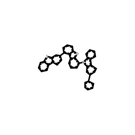 c1ccc(-c2ccc3c4ccccc4n(-c4cccc5c4oc4cccc(-c6ccc7c(c6)sc6ccccc67)c45)c3c2)cc1